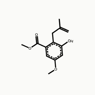 C=C(C)Cc1c(O)cc(OC)cc1C(=O)OC